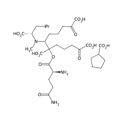 CC(C)C[C@@H](C(=O)O)N(C)C(CCCC(=O)C(=O)O)C(CCCC(=O)C(=O)O)(OC(=O)[C@@H](N)CCC(N)=O)C(=O)O.O=C(O)C1CCCC1